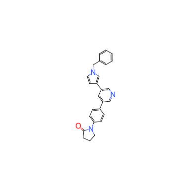 O=C1CCCN1c1ccc(-c2cncc(-c3ccn(Cc4ccccc4)c3)c2)cc1